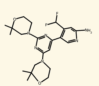 CC1(C)CN(c2cc(-c3cnc(N)cc3C(F)F)nc(N3CCOC(C)(C)C3)n2)CCO1